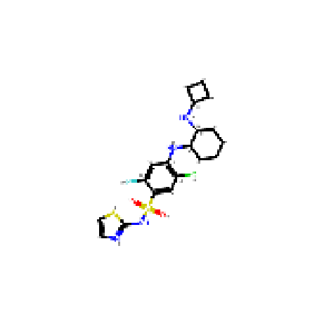 O=S(=O)(Nc1nccs1)c1cc(Cl)c(NC2CCCC[C@@H]2NC2CCC2)cc1F